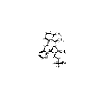 C=CC1C(CCc2cccnc2C2=CCN(C)N2CCC(F)(F)F)=CC=CN1C